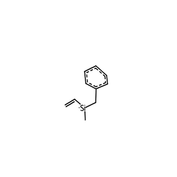 C=C[Si](C)Cc1ccccc1